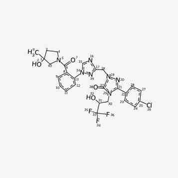 CC1(O)CCN(C(=O)c2ccccc2-n2cnc(Cn3nc(-c4ccc(Cl)cc4)n(CC(O)C(F)(F)F)c3=O)n2)C1